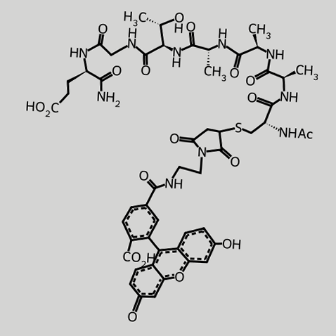 CC(=O)N[C@H](CSC1CC(=O)N(CCNC(=O)c2ccc(C(=O)O)c(-c3c4ccc(=O)cc-4oc4cc(O)ccc34)c2)C1=O)C(=O)N[C@H](C)C(=O)N[C@H](C)C(=O)N[C@H](C)C(=O)N[C@@H](C(=O)NCC(=O)N[C@H](CCC(=O)O)C(N)=O)[C@H](C)O